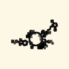 C=CC[C@H]1C(=O)C(C)(C)[C@@H](O)CC(=O)O[C@H](c2ccc3sc(C)nc3c2)C[C@@H]2O[C@]2(C)CCC[C@H](C)[C@@H]1OC(=O)NCCCN1C(=O)C=CC1=O